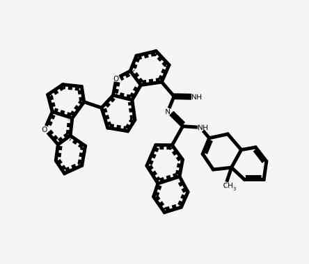 CC12C=CC=CC1CC(N/C(=N\C(=N)c1cccc3oc4c(-c5cccc6oc7ccccc7c56)cccc4c13)c1ccc3ccccc3c1)=CC2